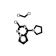 ClCCl.Clc1nc(N2CCCC2)c2cccn2n1